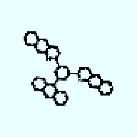 c1ccc2cc3nc(-c4cc(-c5ccc6cc7ccccc7cc6n5)cc(-c5c6ccccc6cc6ccccc56)c4)ccc3cc2c1